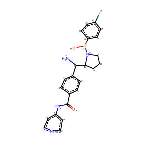 NC(c1ccc(C(=O)Nc2ccncc2)cc1)C1CCCN1[S+]([O-])c1ccc(F)cc1